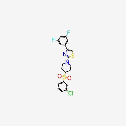 O=S(=O)(c1cccc(Cl)c1)C1CCN(c2nc(-c3cc(F)cc(F)c3)cs2)CC1